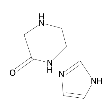 O=C1CNCCN1.c1c[nH]cn1